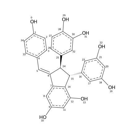 Oc1ccc(/C=C2/c3cc(O)cc(O)c3[C@@H](c3cc(O)cc(O)c3)[C@@H]2c2ccc(O)c(O)c2)cc1